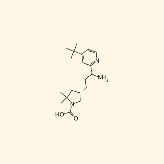 CC(C)(C)c1ccnc(C(N)CC[C@@H]2CN(C(=O)O)C(C)(C)C2)c1